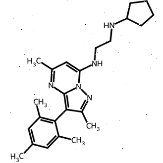 Cc1cc(C)c(-c2c(C)nn3c(NCCNC4CCCC4)cc(C)nc23)c(C)c1